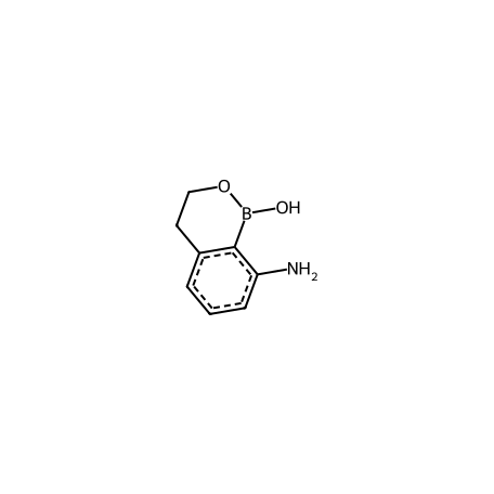 Nc1cccc2c1B(O)OCC2